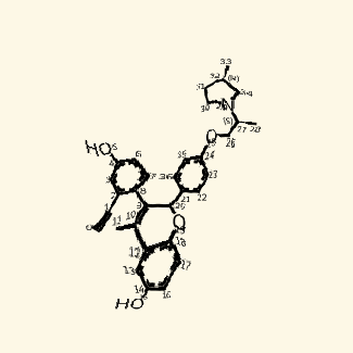 C#Cc1cc(O)ccc1C1=C(C)c2cc(O)ccc2OC1c1ccc(OC[C@H](C)N2CC[C@@H](C)C2)cc1